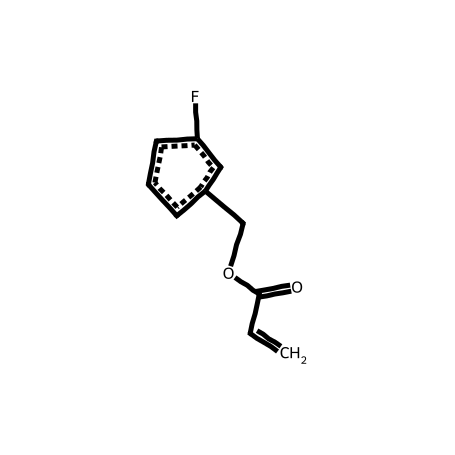 C=CC(=O)OCc1cccc(F)c1